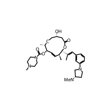 CN[C@H]1CCN(c2cccc(/C=C(\C)[C@H]3OC(=O)C[C@@H](O)CC[C@@H](C)[C@H](OC(=O)N4CCN(C)CC4)/C=C/[C@@H]3C)c2)C1